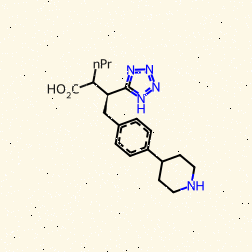 CCCC(C(=O)O)[C@H](Cc1ccc(C2CCNCC2)cc1)c1nnn[nH]1